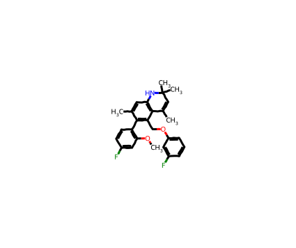 COc1cc(F)ccc1-c1c(C)cc2c(c1COc1cccc(F)c1)C(C)=CC(C)(C)N2